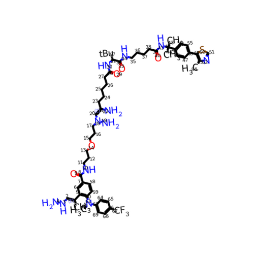 C/C(=C\NN)c1cc(C(=O)NCCCOCCCN(N)/C=C(\N)CCCCCC(=O)NC(C(=O)NCCCCC(=O)NC(C)(C)c2ccc(-c3scnc3C)cc2)C(C)(C)C)ccc1N(C)c1ccc(C(F)(F)F)cc1